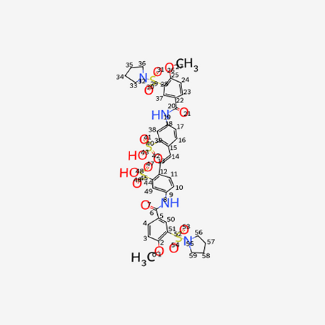 COc1ccc(C(=O)Nc2ccc(C=Cc3ccc(NC(=O)c4ccc(OC)c(S(=O)(=O)N5CCCC5)c4)cc3S(=O)(=O)O)c(S(=O)(=O)O)c2)cc1S(=O)(=O)N1CCCC1